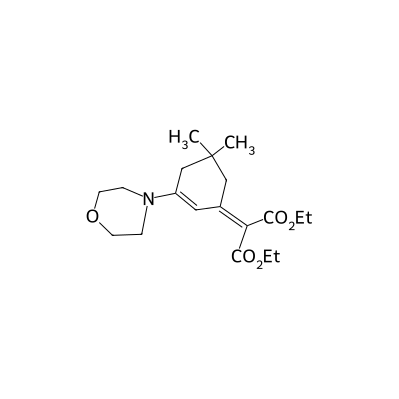 CCOC(=O)C(C(=O)OCC)=C1C=C(N2CCOCC2)CC(C)(C)C1